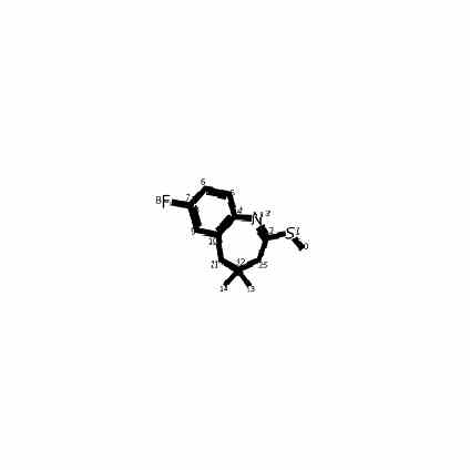 CSC1=Nc2ccc(F)cc2CC(C)(C)C1